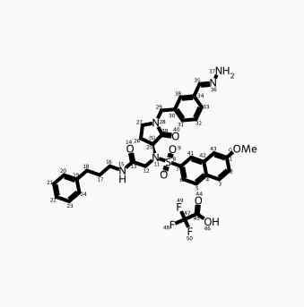 COc1ccc2ccc(S(=O)(=O)N(CC(=O)NCCCc3ccccc3)[C@H]3CCN(Cc4cccc(C=NN)c4)C3=O)cc2c1.O=C(O)C(F)(F)F